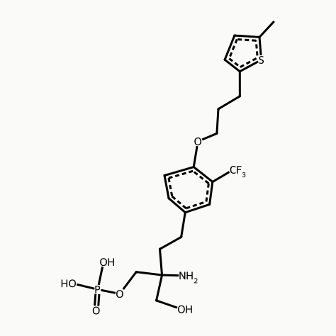 Cc1ccc(CCCOc2ccc(CCC(N)(CO)COP(=O)(O)O)cc2C(F)(F)F)s1